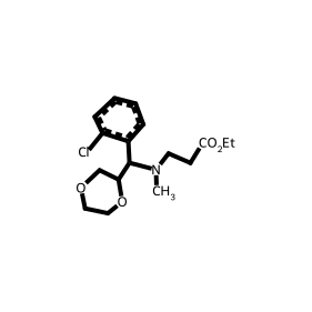 CCOC(=O)CCN(C)C(c1ccccc1Cl)C1COCCO1